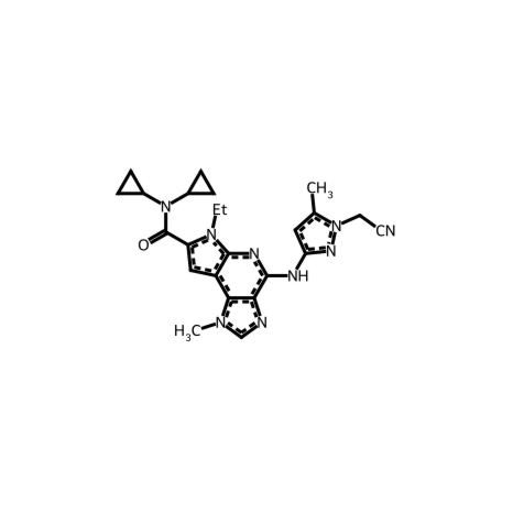 CCn1c(C(=O)N(C2CC2)C2CC2)cc2c3c(ncn3C)c(Nc3cc(C)n(CC#N)n3)nc21